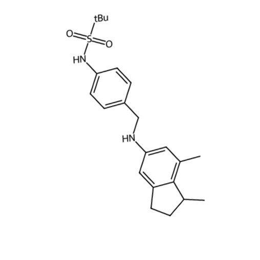 Cc1cc(NCc2ccc(NS(=O)(=O)C(C)(C)C)cc2)cc2c1C(C)CC2